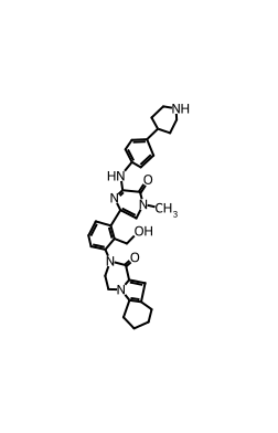 Cn1cc(-c2cccc(N3CCn4c(cc5c4CCCC5)C3=O)c2CO)nc(Nc2ccc(C3CCNCC3)cc2)c1=O